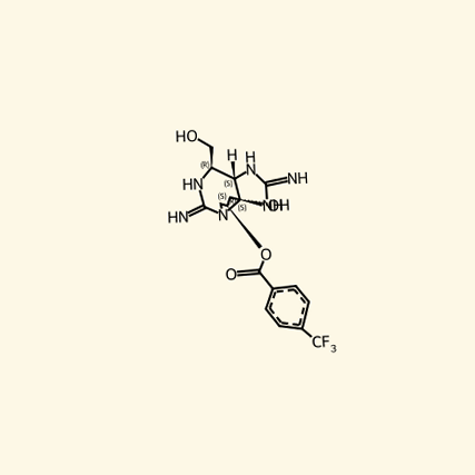 N=C1N[C@H]2[C@H](CO)NC(=N)N3C[C@H](OC(=O)c4ccc(C(F)(F)F)cc4)[C@H](O)[C@]23N1